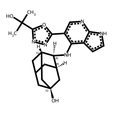 CC(C)(O)c1nnc(-c2cnc3[nH]ccc3c2N[C@H]2[C@@H]3CC4C[C@H]2C[C@@](O)(C4)C3)o1